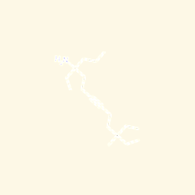 CCCC(N)(CC)CCC#CCCC(C)(CC)CC